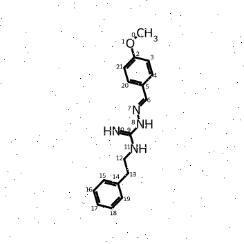 COc1ccc(C=NNC(=N)NCCc2ccccc2)cc1